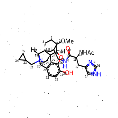 COC12CC[C@@]3(C[C@@H]1CNC(=O)[C@H](Cc1c[nH]cn1)NC(C)=O)[C@H]1Cc4ccc(O)c5c4[C@@]3(CCN1CC1CC1)C2O5